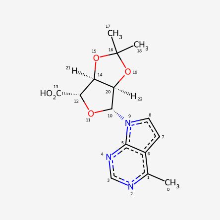 Cc1ncnc2c1ccn2[C@@H]1O[C@H](C(=O)O)[C@H]2OC(C)(C)O[C@H]21